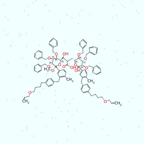 C=CCOCCCCc1ccc(Cc2cc([C@]3(OC)O[C@H](C(O)C([CH][C@H]4O[C@@](O)(c5ccc(C)c(Cc6ccc(CCCCOCC=C)cc6)c5)[C@H](OCc5ccccc5)[C@@H](OCc5ccccc5)[C@@H]4OCc4ccccc4)C(=O)O)[C@H](OCc4ccccc4)[C@H](OCc4ccccc4)[C@H]3OCc3ccccc3)ccc2C)cc1